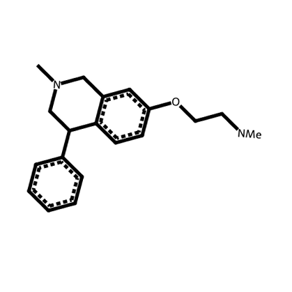 CNCCOc1ccc2c(c1)CN(C)CC2c1ccccc1